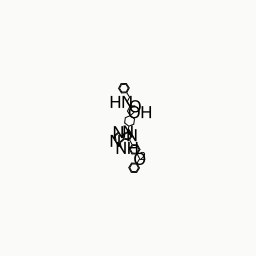 Nc1ncnc2c1c(-c1ccc(Oc3ccccc3)cc1)nn2C1CCC(O)(CC(=O)NCc2ccccc2)CC1